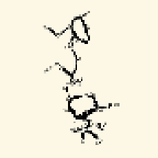 COc1cc(C)ccc1OCC(=O)NCc1ccc(NS(C)(=O)=O)c(F)c1